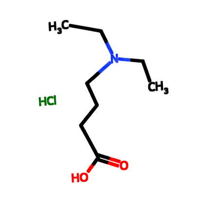 CCN(CC)CCCC(=O)O.Cl